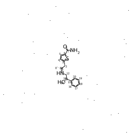 C[C@H](Cc1ccc(C(N)=O)s1)NC[C@@H](O)c1ccccc1